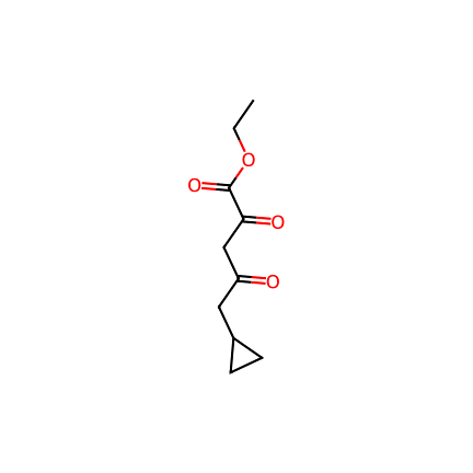 CCOC(=O)C(=O)CC(=O)CC1CC1